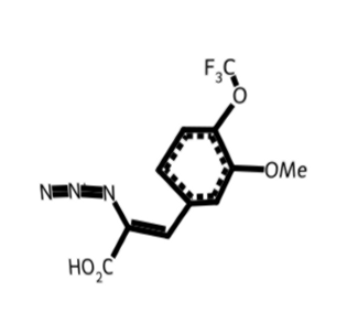 COc1cc(C=C(N=[N+]=[N-])C(=O)O)ccc1OC(F)(F)F